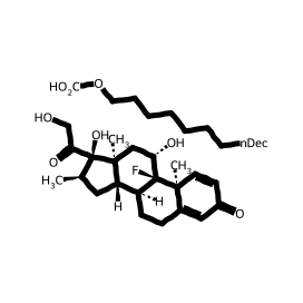 CCCCCCCCCCCCCCCCCOC(=O)O.C[C@@H]1C[C@H]2[C@@H]3CCC4=CC(=O)C=C[C@]4(C)[C@@]3(F)[C@@H](O)C[C@]2(C)[C@@]1(O)C(=O)CO